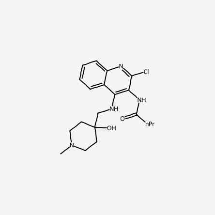 CCCC(=O)Nc1c(Cl)nc2ccccc2c1NCC1(O)CCN(C)CC1